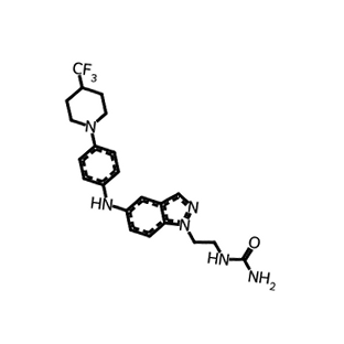 NC(=O)NCCn1ncc2cc(Nc3ccc(N4CCC(C(F)(F)F)CC4)cc3)ccc21